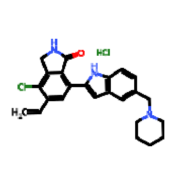 C=Cc1cc(-c2cc3cc(CN4CCCCC4)ccc3[nH]2)c2c(c1Cl)CNC2=O.Cl